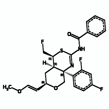 COC=C[C@H]1C[C@H]2[C@@H](CF)SC(NC(=O)c3ccccc3)=N[C@@]2(c2ccc(F)cc2F)CO1